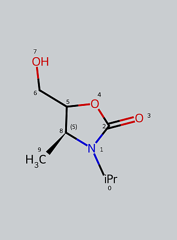 CC(C)N1C(=O)OC(CO)[C@@H]1C